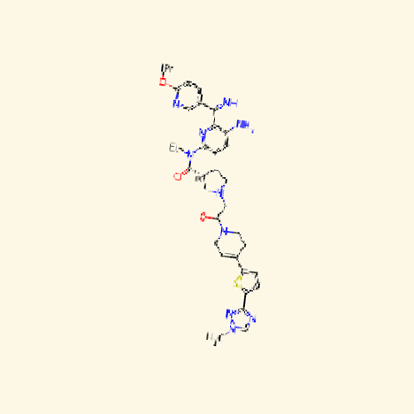 CCN(C(=O)[C@@H]1CCN(CC(=O)N2CC=C(c3ccc(-c4ncn(C)n4)s3)CC2)C1)c1ccc(N)c(C(=N)c2ccc(OC(C)C)nc2)n1